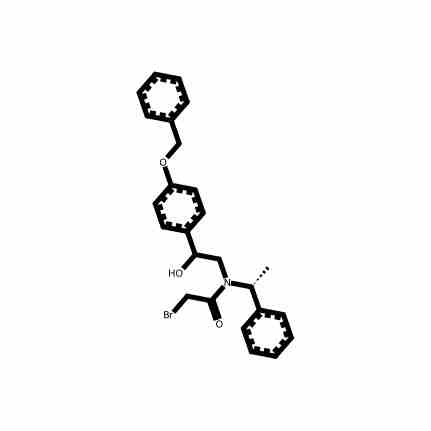 C[C@H](c1ccccc1)N(CC(O)c1ccc(OCc2ccccc2)cc1)C(=O)CBr